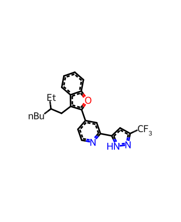 CCCCC(CC)Cc1c(-c2ccnc(-c3cc(C(F)(F)F)n[nH]3)c2)oc2ccccc12